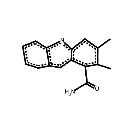 Cc1cc2nc3ccccc3cc2c(C(N)=O)c1C